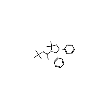 CC(C)(C)OC(=O)N1[C@@H](c2ccccc2)[C@H](c2ccccc2)CC1(C)C